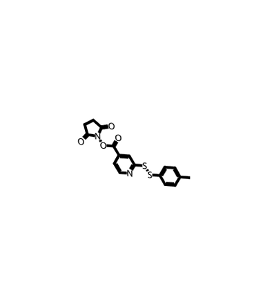 Cc1ccc(SSc2cc(C(=O)ON3C(=O)CCC3=O)ccn2)cc1